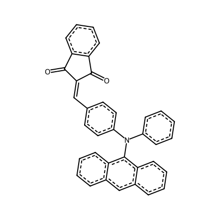 O=C1C(=Cc2ccc(N(c3ccccc3)c3c4ccccc4cc4ccccc34)cc2)C(=O)c2ccccc21